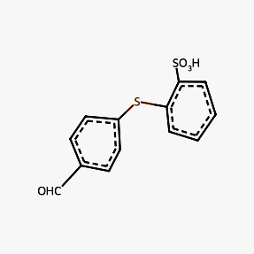 O=Cc1ccc(Sc2ccccc2S(=O)(=O)O)cc1